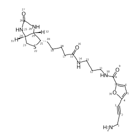 NCC#Cc1ccc(C(=O)NCCCNC(=O)CCCC[C@@H]2SC[C@@H]3NC(=O)N[C@@H]32)o1